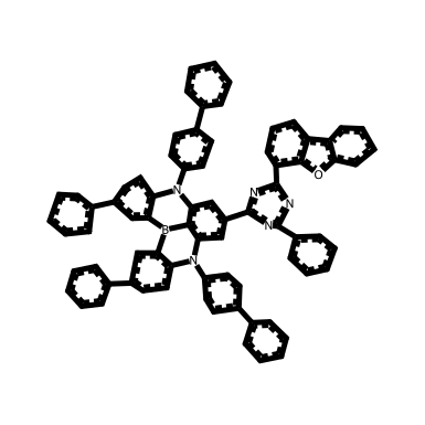 c1ccc(-c2ccc(N3c4ccc(-c5ccccc5)cc4B4c5cc(-c6ccccc6)ccc5N(c5ccc(-c6ccccc6)cc5)c5cc(-c6nc(-c7ccccc7)nc(-c7cccc8c7oc7ccccc78)n6)cc3c54)cc2)cc1